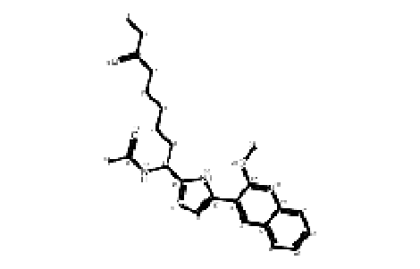 CCC(=O)CCCCC[C@H](NC(C)=O)c1ncc(-c2cc3ccccc3nc2OC)[nH]1